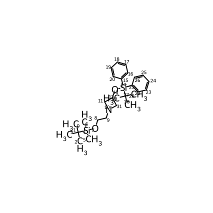 CC(C)(C)[Si](C)(C)OCCN1CC(O[Si](c2ccccc2)(c2ccccc2)C(C)(C)C)C1